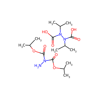 CC(C)N(C(=O)O)N(C(=O)O)C(C)C.CC(C)OC(=O)N(N)C(=O)OC(C)C